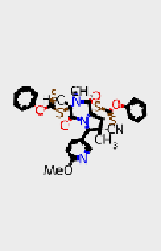 COc1ccc(C2N3C(=O)[C@](C)(SC(=S)Oc4ccccc4)N(C)C(=O)[C@@]3(SC(=S)Oc3ccccc3)C[C@]2(C)C#N)cn1